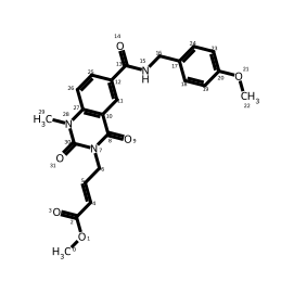 COC(=O)C=CCn1c(=O)c2cc(C(=O)NCc3ccc(OC)cc3)ccc2n(C)c1=O